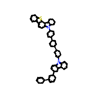 c1ccc(-c2cccc(-c3ccc4c(c3)c3ccccc3n4-c3ccc(-c4ccc(-c5ccc(-n6c7ccccc7c7c8sc9ccccc9c8ccc76)cc5)cc4)cc3)c2)cc1